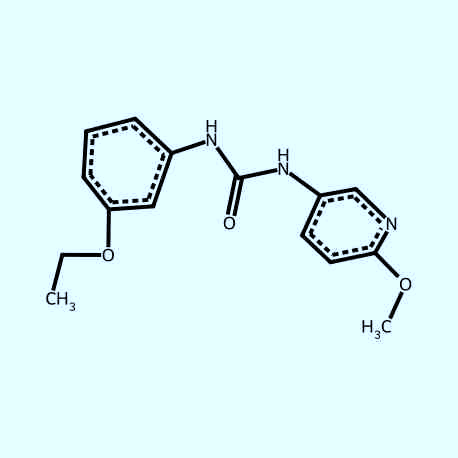 CCOc1cccc(NC(=O)Nc2ccc(OC)nc2)c1